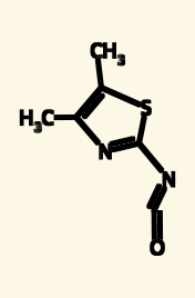 Cc1nc(N=C=O)sc1C